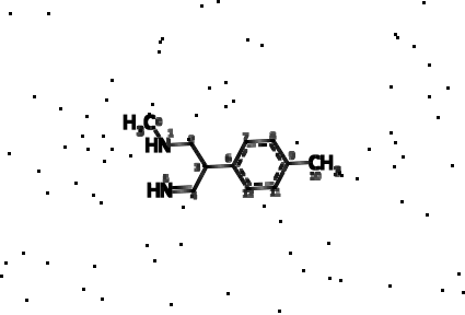 CNCC(C=N)c1ccc(C)cc1